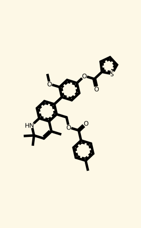 COc1cc(OC(=O)c2cccs2)ccc1-c1ccc2c(c1COC(=O)c1ccc(C)cc1)C(C)=CC(C)(C)N2